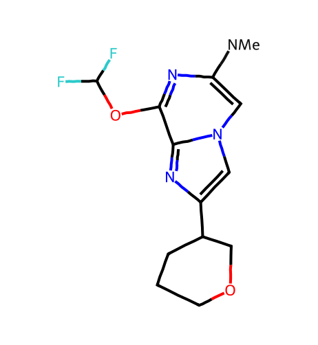 CNc1cn2cc(C3CCCOC3)nc2c(OC(F)F)n1